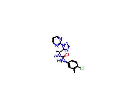 Cc1cc(NC(=O)NC(C)c2ncnn2-c2ncccn2)ccc1Cl